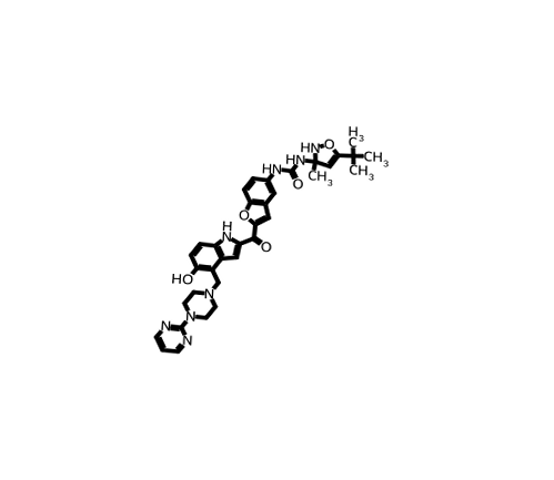 CC1(NC(=O)Nc2ccc3oc(C(=O)c4cc5c(CN6CCN(c7ncccn7)CC6)c(O)ccc5[nH]4)cc3c2)C=C(C(C)(C)C)ON1